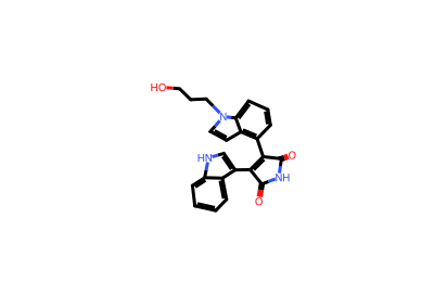 O=C1NC(=O)C(c2cccc3c2ccn3CCCO)=C1c1c[nH]c2ccccc12